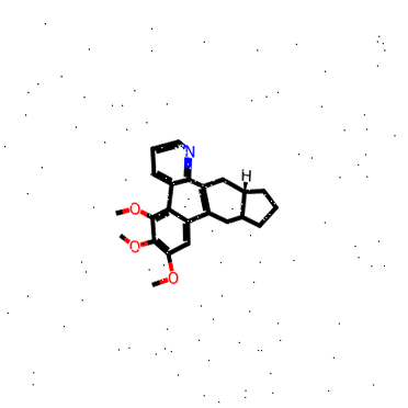 COc1cc2c3c(c4ncccc4c2c(OC)c1OC)C[C@@H]1CCCC1C3